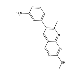 CNc1ncc2cc(-c3cccc(N)c3)c(C)nc2n1